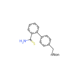 CCCCCCCCCCc1ccc(-c2ccccc2C(N)=S)cc1